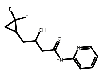 O=C(CC(O)CC1CC1(F)F)Nc1ccccn1